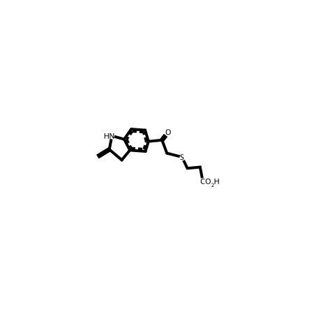 C=C1Cc2cc(C(=O)CSCCC(=O)O)ccc2N1